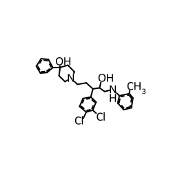 Cc1ccccc1NCC(O)C(CCN1CCC(O)(c2ccccc2)CC1)c1ccc(Cl)c(Cl)c1